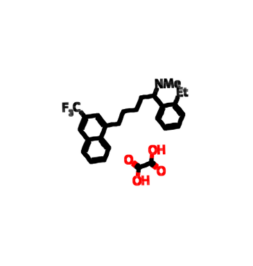 CCc1ccccc1C(CCCCc1cc(C(F)(F)F)cc2ccccc12)NC.O=C(O)C(=O)O